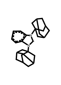 [C]1N(C23CC4CC(CC(C4)C2)C3)c2ccccc2N1C12CC3CC(CC(C3)C1)C2